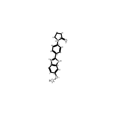 COc1ccc2nc(-c3ccc(N4CCCC4=O)cc3)sc2c1